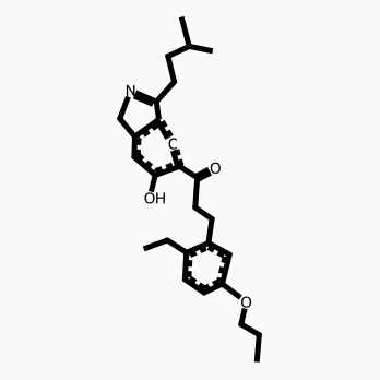 CCCOc1ccc(CC)c(CCC(=O)c2cc3c(cc2O)CN=C3CCC(C)C)c1